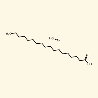 CCCCCCCCCCCCCCCCCC(=O)O.[OH][Al]